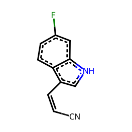 N#C/C=C\c1c[nH]c2cc(F)ccc12